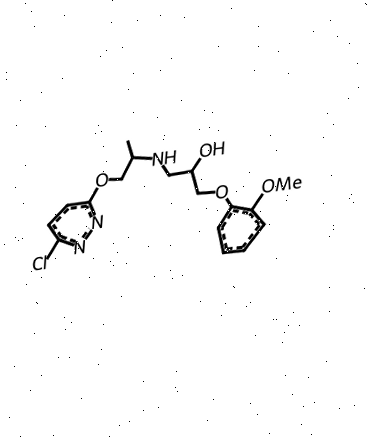 COc1ccccc1OCC(O)CNC(C)COc1ccc(Cl)nn1